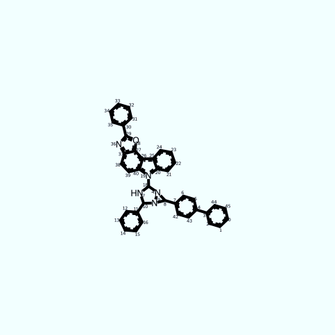 c1ccc(-c2ccc(C3N4C(c5ccccc5)NC(n5c6ccccc6c6c7oc(-c8ccccc8)nc7ccc65)N34)cc2)cc1